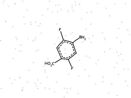 Bc1cc(F)c(C(=O)O)cc1F